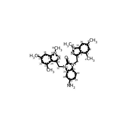 Cc1cc(C)c2c(Cn3c(=O)n(Cc4nn(C)c5cc(C)cc(C)c45)c4cc(N)ccc43)nn(C)c2c1